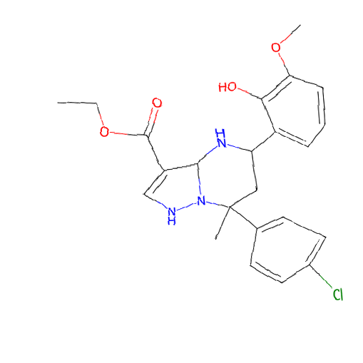 CCOC(=O)C1=CNN2C1NC(c1cccc(OC)c1O)CC2(C)c1ccc(Cl)cc1